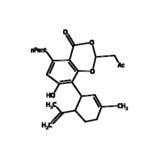 C=C(C)C1CCC(C)=CC1c1c(O)cc(CCCCC)c2c1OC(CC(C)=O)OC2=O